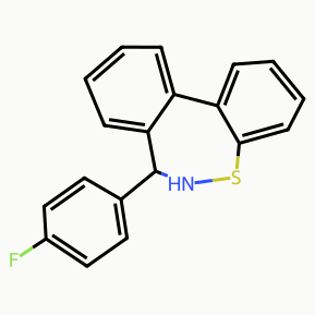 Fc1ccc(C2NSc3ccccc3-c3ccccc32)cc1